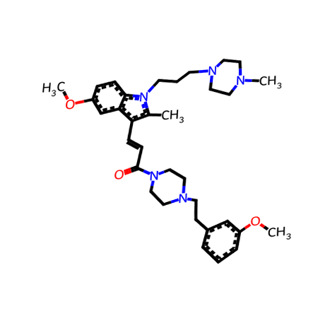 COc1cccc(CCN2CCN(C(=O)C=Cc3c(C)n(CCCN4CCN(C)CC4)c4ccc(OC)cc34)CC2)c1